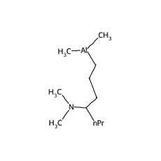 CCCC(CC[CH2][Al]([CH3])[CH3])N(C)C